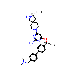 CN(C)Cc1ccc(-c2ccc([C@@H](Oc3cc(N4CCC5(CC4)CN[C@H](C(=O)O)C5)nc(N)n3)C(F)(F)F)cc2)cc1